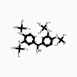 OC(c1ccc(OC(F)(F)F)c(OC(F)(F)F)c1)c1ccc(OC(F)(F)F)c(OC(F)(F)F)c1